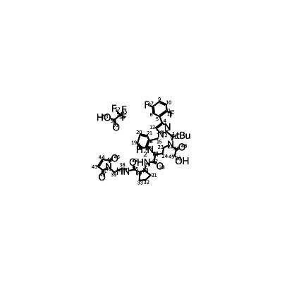 CC(C)(C)[C@H](c1nc(-c2cc(F)ccc2F)cn1Cc1ccccc1)N(CC[C@H](N)C(=O)N[C@H]1CCC[C@H]1C(=O)NCCN1C(=O)C=CC1=O)C(=O)CO.O=C(O)C(F)(F)F